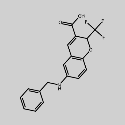 O=C(O)C1=Cc2cc(NCc3ccccc3)ccc2OC1C(F)(F)F